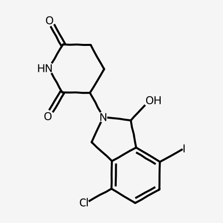 O=C1CCC(N2Cc3c(Cl)ccc(I)c3C2O)C(=O)N1